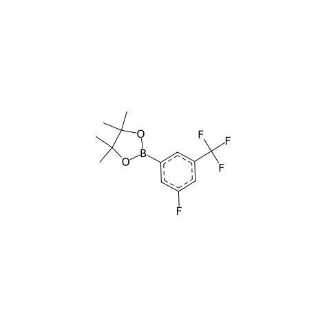 CC1(C)OB(c2cc(F)cc(C(F)(F)F)c2)OC1(C)C